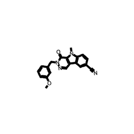 COc1cccc(Cn2ncc3c4cc(C#N)ccc4n(C)c3c2=O)c1